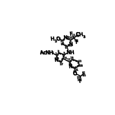 CC(=O)Nc1cc(Nc2cc(C)nc(C(C)(F)F)n2)c(-c2cccc(OC(F)F)n2)cn1